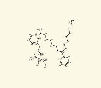 CC(C)CCCCCCCP(CCCCCCCC(C)C)c1ccccc1.CCOP(=O)(NCCc1ccccc1)OCC